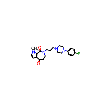 Cn1ccc2c1C(=O)N(CCCN1CCN(c3ccc(F)cc3)CC1)CCC2=O